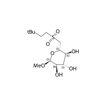 CO[C@H]1O[C@H](CS(=O)(=O)CCC(C)(C)C)[C@@H](O)[C@H](O)[C@H]1O